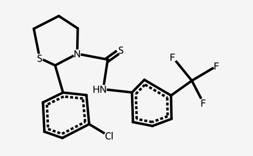 FC(F)(F)c1cccc(NC(=S)N2CCCSC2c2cccc(Cl)c2)c1